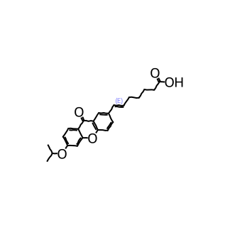 CC(C)Oc1ccc2c(=O)c3cc(/C=C/CCCCC(=O)O)ccc3oc2c1